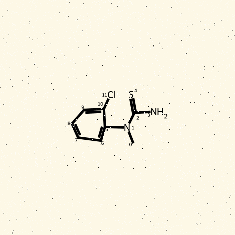 CN(C(N)=S)c1ccccc1Cl